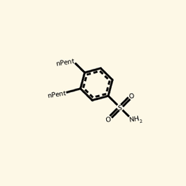 CCCCCc1ccc(S(N)(=O)=O)cc1CCCCC